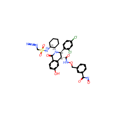 [N-]=[N+]=NCS(=O)(=O)N[C@H]1CCCC[C@@H]1N1C(=O)c2ccc(O)cc2[C@@H](C(=O)NOCc2cccc(C(=O)N=O)c2)[C@@H]1c1ccc(Cl)cc1Cl